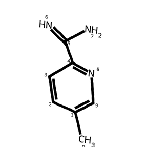 Cc1ccc(C(=N)N)nc1